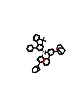 CC1(C)c2ccccc2-c2c(-c3ccccc3)cc(N(c3ccc(C4CC5CCC4C5)cc3)c3ccc(C45CC6CC(CC(C6)C4)C5)cc3-c3ccccc3)cc21